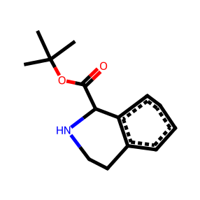 CC(C)(C)OC(=O)C1NCCc2ccccc21